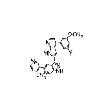 COc1cc(F)cc(-c2ccnc3[nH]c(-c4n[nH]c5cnc(-c6cnccc6C)cc45)cc23)c1